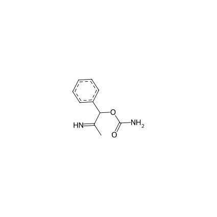 CC(=N)C(OC(N)=O)c1ccccc1